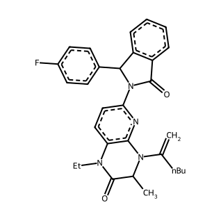 C=C(CCCC)N1c2nc(N3C(=O)c4ccccc4C3c3ccc(F)cc3)ccc2N(CC)C(=O)C1C